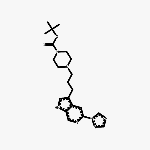 CC(C)(C)OC(=O)N1CCN(CCCc2c[nH]c3cnc(-n4cncn4)cc23)CC1